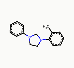 Cc1ccccc1N1CCN(c2ccccc2)C1